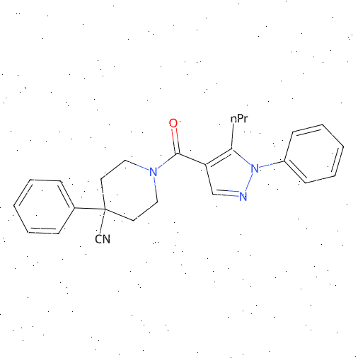 CCCc1c(C(=O)N2CCC(C#N)(c3ccccc3)CC2)cnn1-c1ccccc1